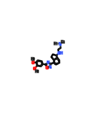 CCOc1ccc(-c2nc(-c3cccc4c3CCC4NCCN(CC)CC)no2)cc1OCC